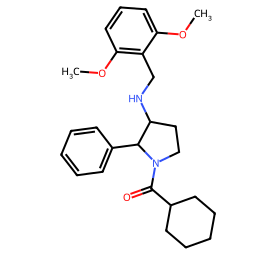 COc1cccc(OC)c1CNC1CCN(C(=O)C2CCCCC2)C1c1ccccc1